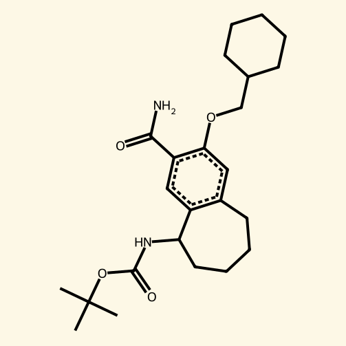 CC(C)(C)OC(=O)NC1CCCCc2cc(OCC3CCCCC3)c(C(N)=O)cc21